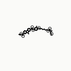 C=COC(=O)c1ccc2c(c1)C(C)c1cc(C(=O)Oc3ccc(OCCCCCCOC(=O)C(=C)COC)c(C)c3)ccc1-2